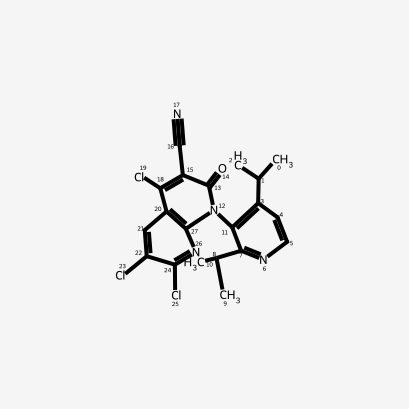 CC(C)c1ccnc(C(C)C)c1-n1c(=O)c(C#N)c(Cl)c2cc(Cl)c(Cl)nc21